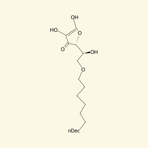 CCCCCCCCCCCCCCCCOC[C@H](O)[C@H]1OC(O)=C(O)C1=O